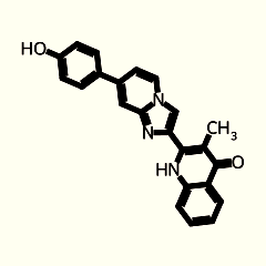 Cc1c(-c2cn3ccc(-c4ccc(O)cc4)cc3n2)[nH]c2ccccc2c1=O